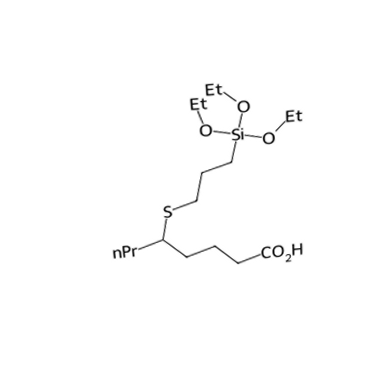 CCCC(CCCC(=O)O)SCCC[Si](OCC)(OCC)OCC